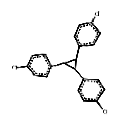 Clc1ccc(C2C(c3ccc(Cl)cc3)C2c2ccc(Cl)cc2)cc1